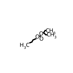 CCCCCOC(=O)OC(CC)CC